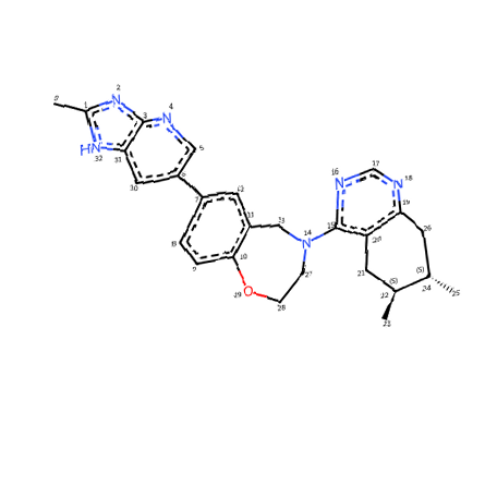 Cc1nc2ncc(-c3ccc4c(c3)CN(c3ncnc5c3C[C@H](C)[C@@H](C)C5)CCO4)cc2[nH]1